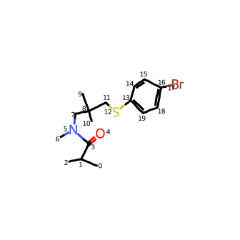 CC(C)C(=O)N(C)CC(C)(C)CSc1ccc(Br)cc1